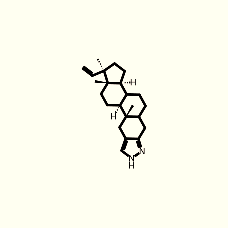 C=C[C@@]1(C)CC[C@H]2C3CCC4Cc5n[nH]cc5C[C@]4(C)[C@H]3CC[C@@]21C